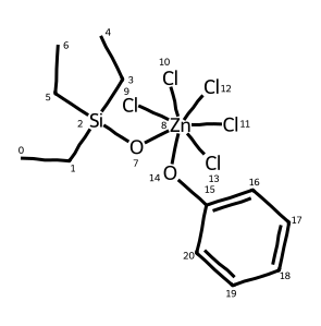 CC[Si](CC)(CC)[O][Zn]([Cl])([Cl])([Cl])([Cl])([Cl])[O]c1ccccc1